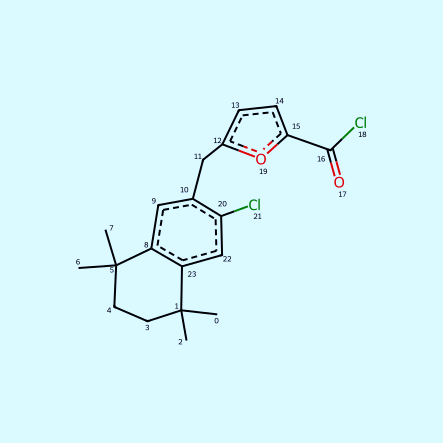 CC1(C)CCC(C)(C)c2cc(Cc3ccc(C(=O)Cl)o3)c(Cl)cc21